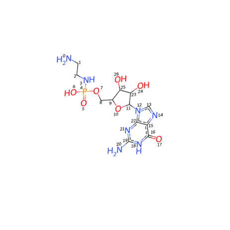 NCCNP(=O)(O)OCC1OC(n2cnc3c(=O)[nH]c(N)nc32)C(O)C1O